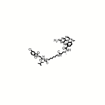 CC(C)CC[C@H](NC(=O)CNC(=O)c1cc(Cl)ccc1Cl)C(=O)NCCCCCCNC(=O)CC[C@@H](C)NC(=O)c1ccc(N(C)Cc2cnc3nc(N)nc(N)c3n2)cc1